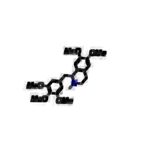 COc1cc2c(cc1OC)C(Cc1cc(OC)c(OC)c(OC)c1)N(C)CC2